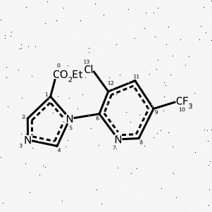 CCOC(=O)c1cncn1-c1ncc(C(F)(F)F)cc1Cl